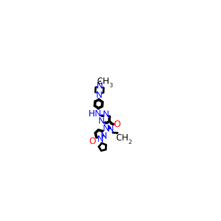 C=CCn1c(=O)c2cnc(Nc3ccc(N4CCN(C)CC4)cc3)nc2n1-c1ccc(=O)n(C2CCCC2)n1